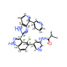 CC(C)C(=O)Nc1cncc(-c2ccc3[nH]nc(-c4nc5c(-c6cccnc6)nccc5[nH]4)c3c2F)c1